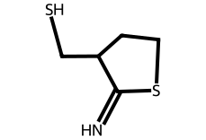 N=C1SCCC1CS